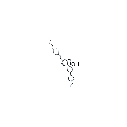 CCCCCC1CCC(CCc2ccc(C3(C(=O)O)CCC(C4CCC(CCC)CC4)CC3)cc2)CC1